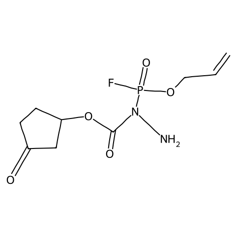 C=CCOP(=O)(F)N(N)C(=O)OC1CCC(=O)C1